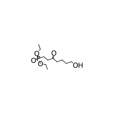 CCOP(=O)(CCC(=O)CCCCO)OCC